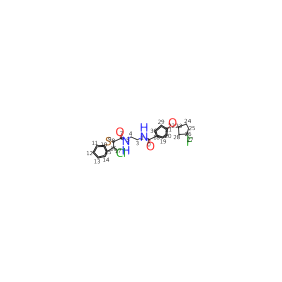 O=C(NCCNC(=O)C1Sc2ccccc2C1Cl)c1ccc(O[C@@H]2CC[C@@H](F)C2)cc1